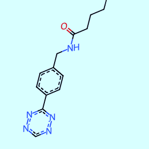 O=CCCCC(=O)NCc1ccc(-c2nncnn2)cc1